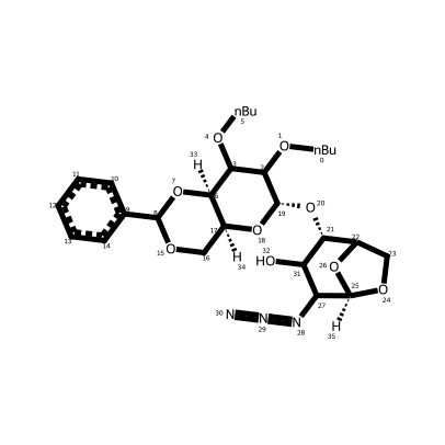 CCCCOC1C(OCCCC)[C@@H]2OC(c3ccccc3)OC[C@@H]2O[C@H]1O[C@@H]1C2CO[C@H](O2)C(N=[N+]=[N-])C1O